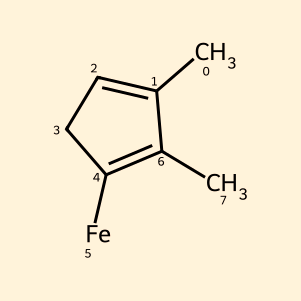 CC1=CC[C]([Fe])=C1C